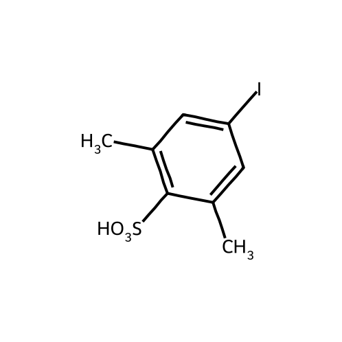 Cc1cc(I)cc(C)c1S(=O)(=O)O